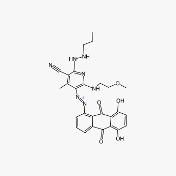 CCCNNc1nc(NCCOC)c(/N=N/c2cccc3c2C(=O)c2c(O)ccc(O)c2C3=O)c(C)c1C#N